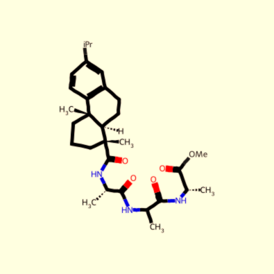 COC(=O)[C@H](C)NC(=O)C(C)NC(=O)[C@H](C)NC(=O)[C@]1(C)CCC[C@]2(C)c3ccc(C(C)C)cc3CC[C@@H]12